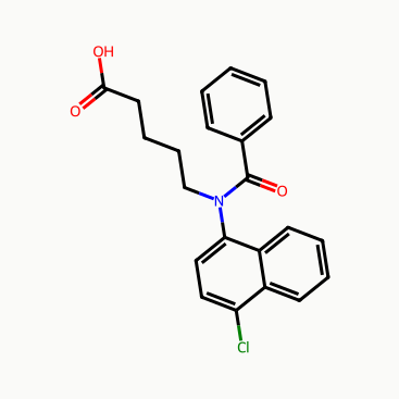 O=C(O)CCCCN(C(=O)c1ccccc1)c1ccc(Cl)c2ccccc12